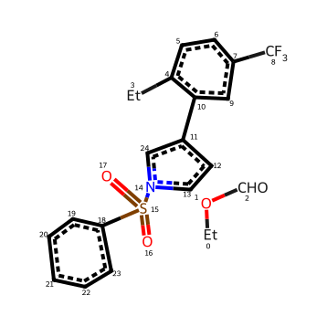 CCOC=O.CCc1ccc(C(F)(F)F)cc1-c1ccn(S(=O)(=O)c2ccccc2)c1